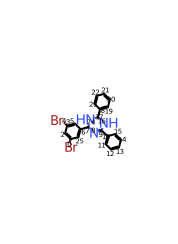 Brc1cc(Br)cc(C2N=C(c3ccccc3)NC(c3ccccc3)N2)c1